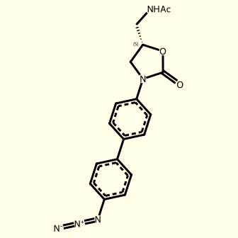 CC(=O)NC[C@H]1CN(c2ccc(-c3ccc(N=[N+]=[N-])cc3)cc2)C(=O)O1